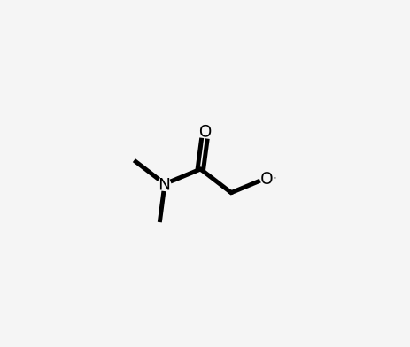 CN(C)C(=O)C[O]